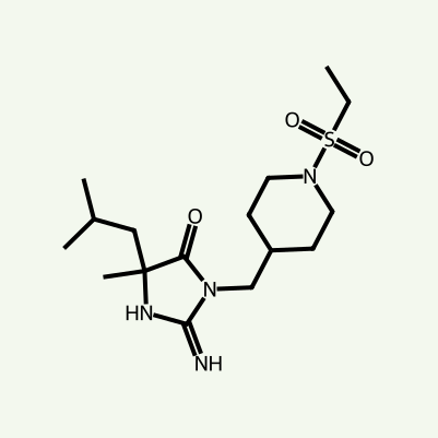 CCS(=O)(=O)N1CCC(CN2C(=N)NC(C)(CC(C)C)C2=O)CC1